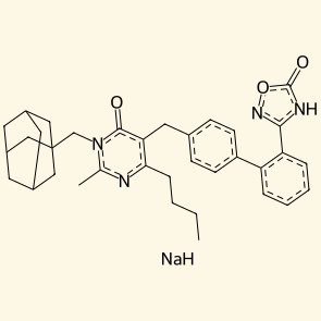 CCCCc1nc(C)n(CC23CC4CC(CC(C4)C2)C3)c(=O)c1Cc1ccc(-c2ccccc2-c2noc(=O)[nH]2)cc1.[NaH]